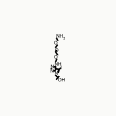 CC(C)(O)Cn1cc(I)c2c(NCCOCCOCCOCCN)ncnc21